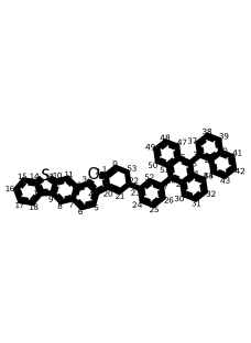 C1=c2oc3c(ccc4cc5c(cc43)sc3ccccc35)c2=CC(c2cccc(-c3c4ccccc4c(-c4cccc5ccccc45)c4ccccc34)c2)C1